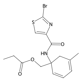 CCC(=O)OCC1(NC(=O)c2csc(Br)n2)C=CC=C(C)C1